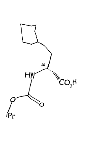 CC(C)OC(=O)N[C@H](CC1CCC1)C(=O)O